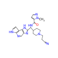 Cn1nccc1C(=O)NC(c1nc2cnc3[nH]ccc3c2[nH]1)C1CCN(CCC#N)CC1